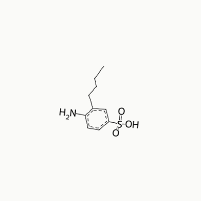 CCCCc1cc(S(=O)(=O)O)ccc1N